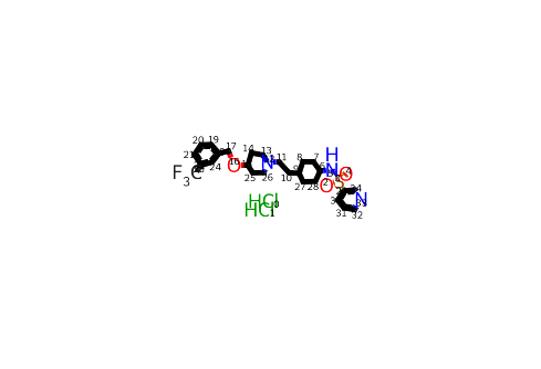 Cl.Cl.O=S(=O)(NC1CCC(CCN2CCC(OCc3cccc(C(F)(F)F)c3)CC2)CC1)c1cccnc1